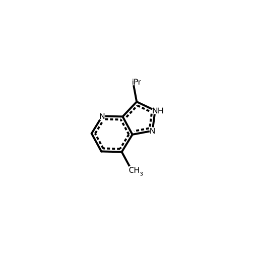 Cc1ccnc2c(C(C)C)[nH]nc12